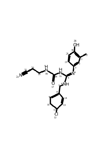 Cc1cc(/N=C(/NCC2=CCC(Cl)C=C2)NC(=O)NCCC#N)ccc1O